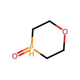 O=[PH]1CCOCC1